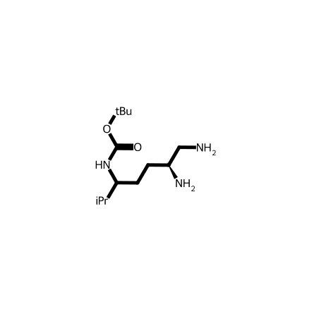 CC(C)C(CC[C@H](N)CN)NC(=O)OC(C)(C)C